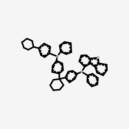 c1ccc(N(c2ccc(C3CCCCC3)cc2)c2ccc(C3(c4ccc(N(c5ccccc5)c5cccc6oc7ccccc7c56)cc4)CCCCC3)cc2)cc1